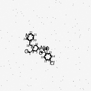 O=C[C@@H]1C[C@@H](NS(=O)(=O)c2ccc(Cl)cc2)CN1Cc1cccnc1